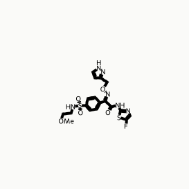 COCCNS(=O)(=O)c1ccc(/C(=N\OCc2cc[nH]n2)C(=O)Nc2ncc(F)s2)cc1